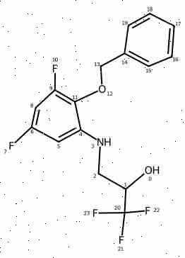 OC(CNc1cc(F)cc(F)c1OCc1ccccc1)C(F)(F)F